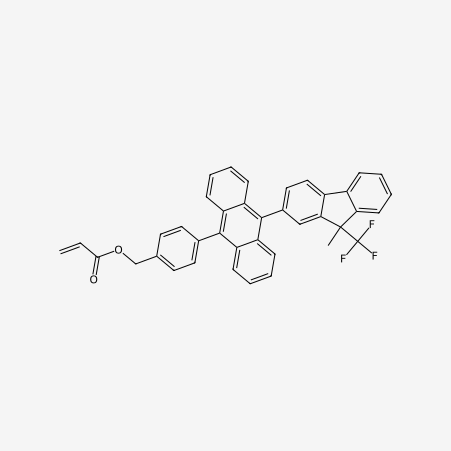 C=CC(=O)OCc1ccc(-c2c3ccccc3c(-c3ccc4c(c3)C(C)(C(F)(F)F)c3ccccc3-4)c3ccccc23)cc1